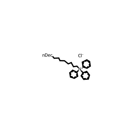 CCCCCCCCCCCCCCCCCC[N+](c1ccccc1)(c1ccccc1)c1ccccc1.[Cl-]